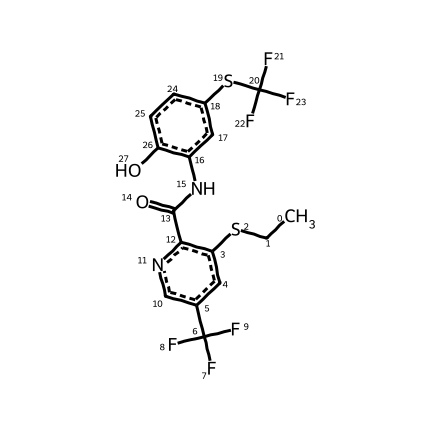 CCSc1cc(C(F)(F)F)cnc1C(=O)Nc1cc(SC(F)(F)F)ccc1O